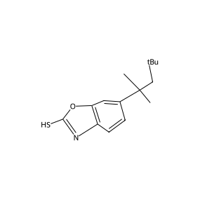 CC(C)(C)CC(C)(C)c1ccc2nc(S)oc2c1